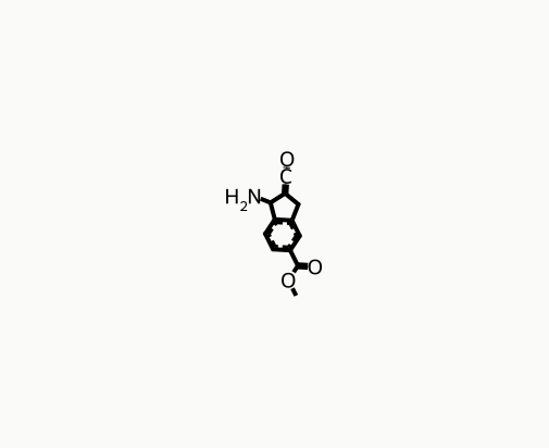 COC(=O)c1ccc2c(c1)CC(=C=O)C2N